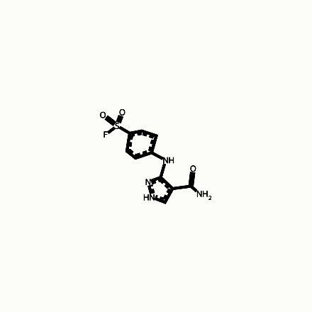 NC(=O)c1c[nH]nc1Nc1ccc(S(=O)(=O)F)cc1